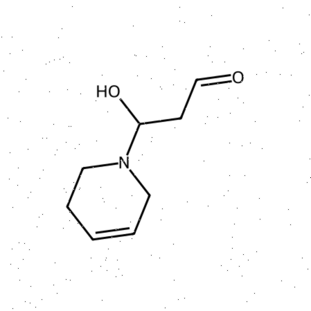 O=CCC(O)N1CC=CCC1